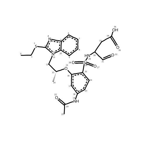 CCSc1nc2ccccc2n1C[C@@H](C)Oc1cc(NC(C)=O)ccc1S(=O)(=O)NC(C=O)CC(=O)O